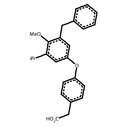 COc1c(Cc2ccccc2)cc(Oc2ccc(CC(=O)O)cc2)cc1C(C)C